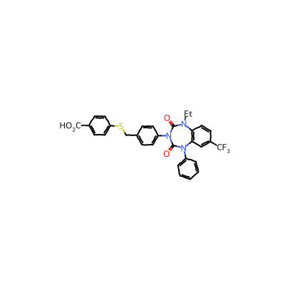 CCN1C(=O)N(c2ccc(CSc3ccc(C(=O)O)cc3)cc2)C(=O)N(c2ccccc2)c2cc(C(F)(F)F)ccc21